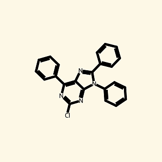 Clc1nc(-c2ccccc2)c2nc(-c3ccccc3)n(-c3ccccc3)c2n1